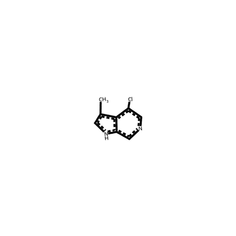 Cc1c[nH]c2cncc(Cl)c12